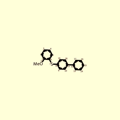 COc1c[c]ccc1Sc1ccc(-c2ccccc2)cc1